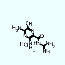 Cl.N#Cc1nc(C(=O)NC(=N)N)c(N)nc1N